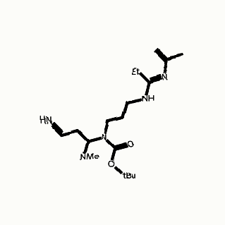 C=C(C)/N=C(\CC)NCCCN(C(=O)OC(C)(C)C)C(CC=N)NC